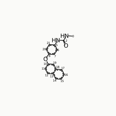 CNC(=O)Nc1ccc(Oc2ccc3ccccc3c2)cc1